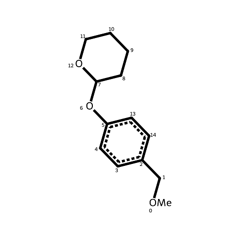 COCc1ccc(OC2CCCCO2)cc1